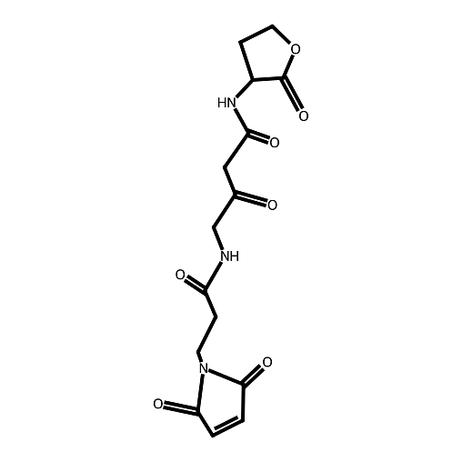 O=C(CNC(=O)CCN1C(=O)C=CC1=O)CC(=O)NC1CCOC1=O